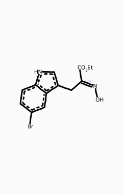 CCOC(=O)/C(Cc1c[nH]c2ccc(Br)cc12)=N/O